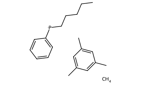 C.CCCCC[P]c1ccccc1.Cc1cc(C)cc(C)c1